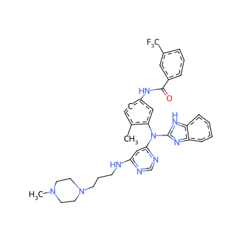 Cc1ccc(NC(=O)c2cccc(C(F)(F)F)c2)cc1N(c1cc(NCCCN2CCN(C)CC2)ncn1)c1nc2ccccc2[nH]1